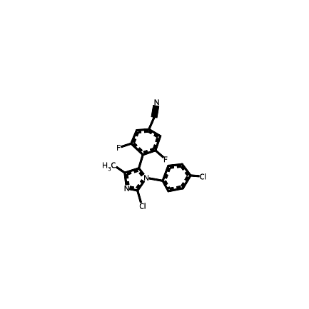 Cc1nc(Cl)n(-c2ccc(Cl)cc2)c1-c1c(F)cc(C#N)cc1F